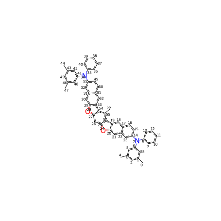 Cc1cc(C)cc(N(c2ccccc2)c2ccc3cc4c(cc3c2)oc2cc3oc5cc6cc(N(c7ccccc7)c7cc(C)cc(C)c7)ccc6cc5c3c(C)c24)c1